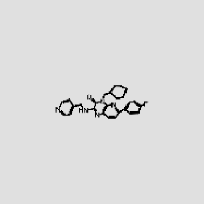 O=c1c(NCc2ccncc2)nc2ccc(-c3ccc(F)cc3)nc2n1CC1CCCCC1